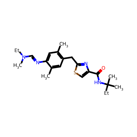 CCN(C)/C=N/c1cc(C)c(Cc2nc(C(=O)NC(C)(C)CC)cs2)cc1C